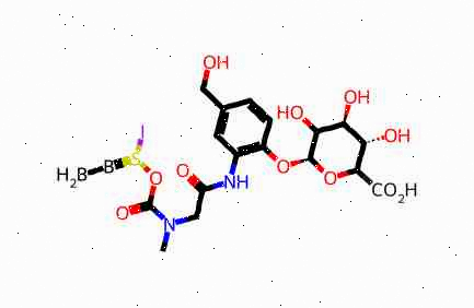 B/B=S(\I)OC(=O)N(C)CC(=O)Nc1cc(CO)ccc1O[C@@H]1OC(C(=O)O)[C@@H](O)[C@H](O)C1O